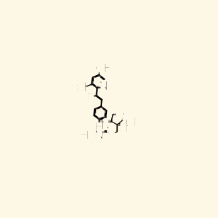 NC1=N[C@@]2(c3cc(/C=C(\F)c4ncc(C(F)(F)F)cc4Cl)ccc3F)CO[C@H](C(F)(F)F)[C@H]2CS1